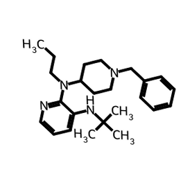 CCCN(c1ncccc1NC(C)(C)C)C1CCN(Cc2ccccc2)CC1